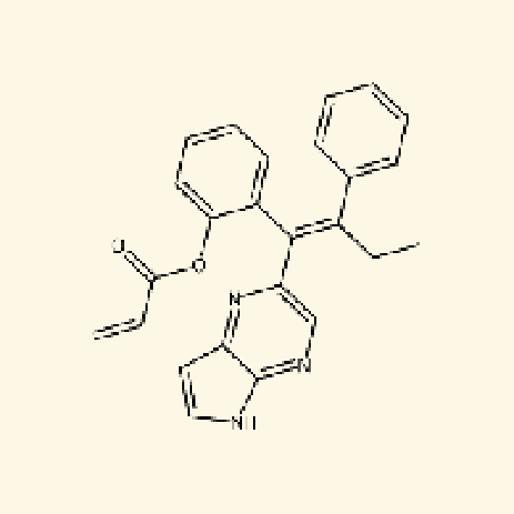 C=CC(=O)Oc1ccccc1/C(=C(/CC)c1ccccc1)c1cnc2[nH]ccc2n1